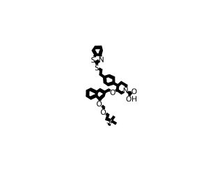 C[Si](C)(C)CCOCOc1cc(COC2CN(C(=O)O)CCC2c2ccc(CCSc3nc4ccccc4s3)cc2)cc2ccccc12